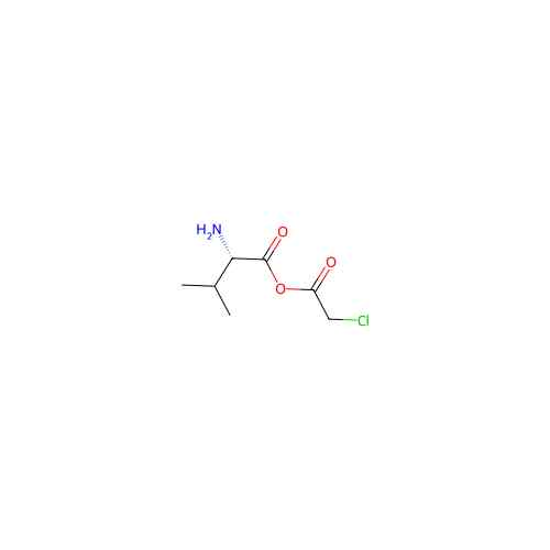 CC(C)[C@H](N)C(=O)OC(=O)CCl